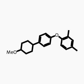 COC1CCC(c2ccc(Oc3ccc(C)cc3C)cc2)CC1